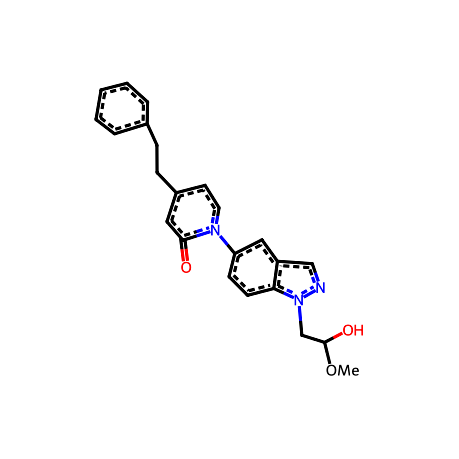 COC(O)Cn1ncc2cc(-n3ccc(CCc4ccccc4)cc3=O)ccc21